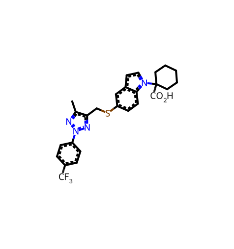 Cc1nn(-c2ccc(C(F)(F)F)cc2)nc1CSc1ccc2c(ccn2C2(C(=O)O)CCCCC2)c1